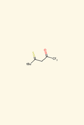 CC(C)(C)C(=S)CC(=O)C(F)(F)F